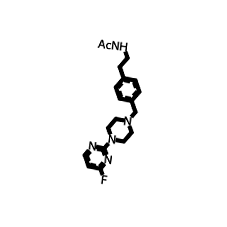 CC(=O)NCCc1ccc(CN2CCN(c3nccc(F)n3)CC2)cc1